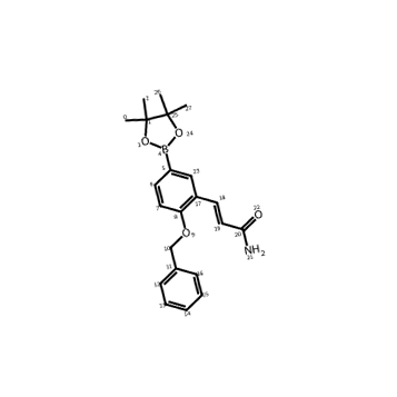 CC1(C)OB(c2ccc(OCc3ccccc3)c(C=CC(N)=O)c2)OC1(C)C